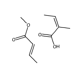 CC=C(C)C(=O)O.CC=CC(=O)OC